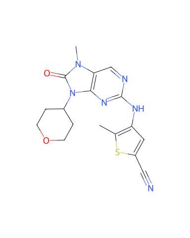 Cc1sc(C#N)cc1Nc1ncc2c(n1)n(C1CCOCC1)c(=O)n2C